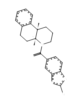 Nc1nc2ccc(C(=O)N3CCC[C@H]4c5ccccc5CC[C@H]43)cc2s1